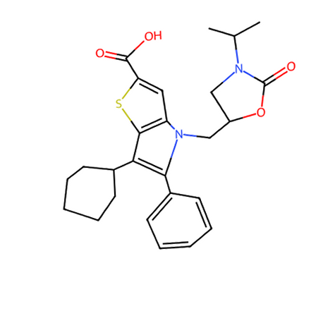 CC(C)N1CC(Cn2c(-c3ccccc3)c(C3CCCCC3)c3sc(C(=O)O)cc32)OC1=O